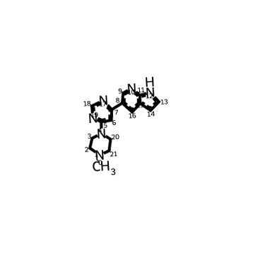 CN1CCN(c2cc(-c3cnc4[nH]ccc4c3)ncn2)CC1